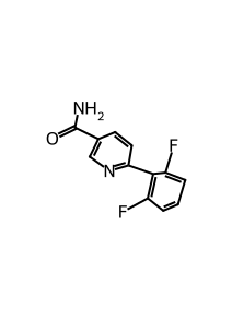 NC(=O)c1ccc(-c2c(F)cccc2F)nc1